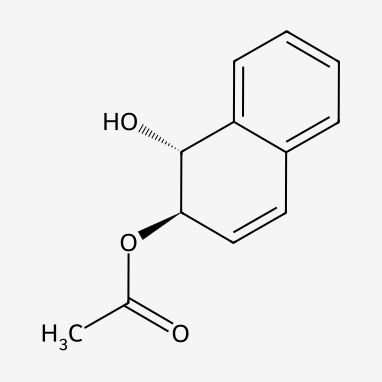 CC(=O)O[C@@H]1C=Cc2ccccc2[C@H]1O